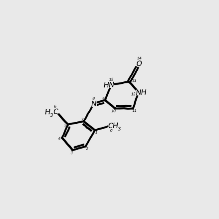 Cc1cccc(C)c1N=c1cc[nH]c(=O)[nH]1